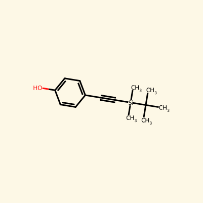 CC(C)(C)[Si](C)(C)C#Cc1ccc(O)cc1